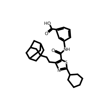 O=C(O)c1cccc(NC(=O)c2sc(C3CCCCC3)nc2CCC23CC4CC(CC(C4)C2)C3)c1